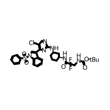 CC(C)(C)OC(=O)NCC(F)(F)C(=O)N[C@H]1CCC[C@@H](Nc2ncc(Cl)c(-c3cn(S(=O)(=O)c4ccccc4)c4ccccc34)n2)C1